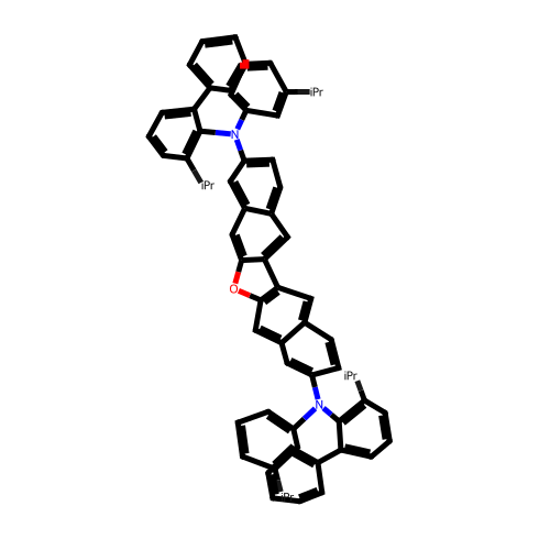 CC(C)c1cccc(N(c2ccc3cc4c(cc3c2)oc2cc3cc(N(c5cccc(C(C)C)c5)c5c(-c6ccccc6)cccc5C(C)C)ccc3cc24)c2c(-c3ccccc3)cccc2C(C)C)c1